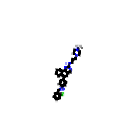 CN1CCN(CCCNc2ncc3c(n2)-c2ccccc2C(c2ccc(NCc4ccccc4Cl)cc2)C3)CC1